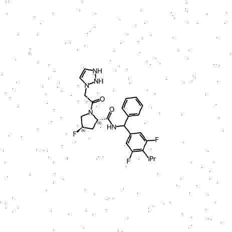 CC(C)c1c(F)cc(C(NC(=O)[C@@H]2C[C@@H](F)CN2C(=O)CN2C=CNN2)c2ccccc2)cc1F